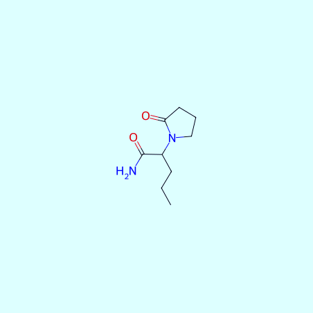 CCCC(C(N)=O)N1CCCC1=O